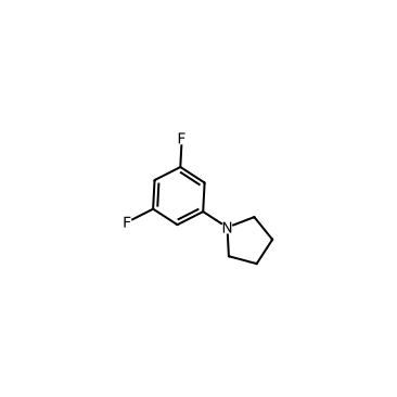 Fc1cc(F)cc(N2CCCC2)c1